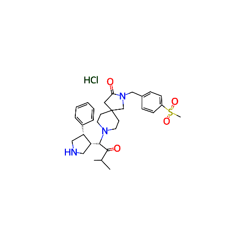 CC(C)C(=O)C([C@@H]1CNC[C@@H]1c1ccccc1)N1CCC2(CC1)CC(=O)N(Cc1ccc(S(C)(=O)=O)cc1)C2.Cl